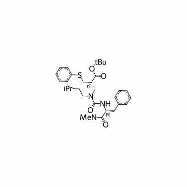 CNC(=O)[C@H](Cc1ccccc1)NC(=O)N(CCC(C)C)C[C@H](CSc1ccccc1)C(=O)OC(C)(C)C